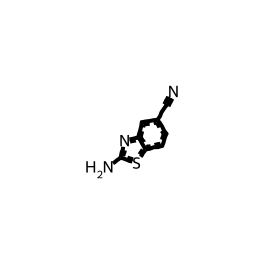 N#Cc1ccc2sc(N)nc2c1